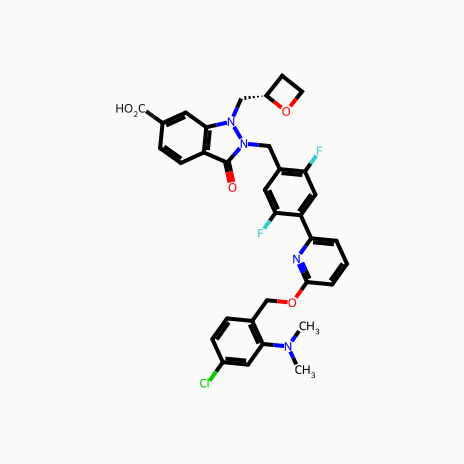 CN(C)c1cc(Cl)ccc1COc1cccc(-c2cc(F)c(Cn3c(=O)c4ccc(C(=O)O)cc4n3C[C@@H]3CCO3)cc2F)n1